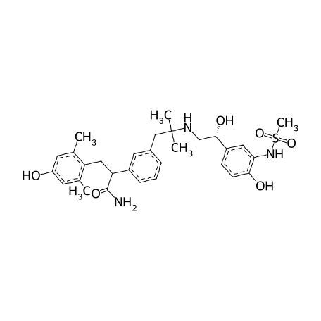 Cc1cc(O)cc(C)c1CC(C(N)=O)c1cccc(CC(C)(C)NC[C@H](O)c2ccc(O)c(NS(C)(=O)=O)c2)c1